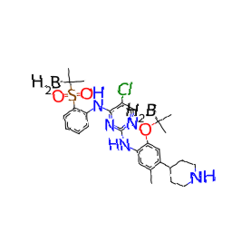 BC(C)(C)Oc1cc(C2CCNCC2)c(C)cc1Nc1ncc(Cl)c(Nc2ccccc2S(=O)(=O)C(B)(C)C)n1